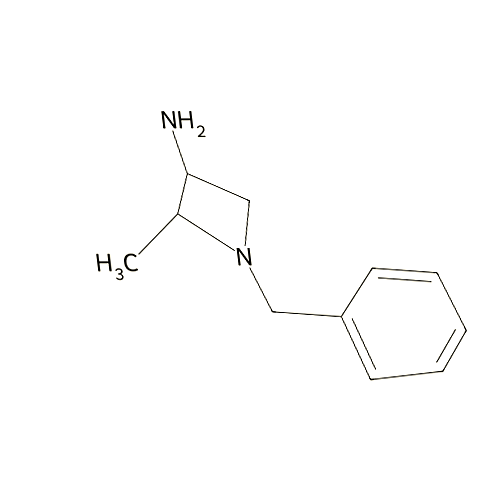 CC1C(N)CN1Cc1ccccc1